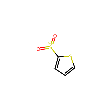 O=[SH](=O)c1[c]ccs1